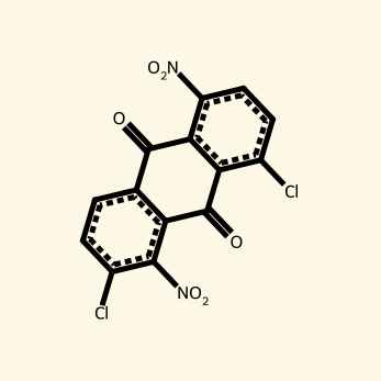 O=C1c2ccc(Cl)c([N+](=O)[O-])c2C(=O)c2c(Cl)ccc([N+](=O)[O-])c21